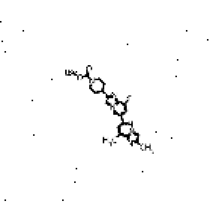 Cc1cn2nc(-c3cc(F)c4nc(C5CCN(C(=O)OC(C)(C)C)CC5)cn4c3)cc(C)c2n1